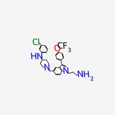 NCCCn1cc(-c2ccc(OC(F)(F)F)cc2)c2cc(CN3CCC(Nc4cccc(Cl)c4)CC3)ccc21